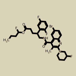 CCCC(F)OC(=O)CCC(CNC(=O)c1c(C)c(N2CCCC(F)C2)nc2ccc(Br)cc12)c1cc(F)ccc1F